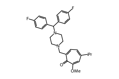 COc1cc(C(C)C)ccc(CN2CCN(C(c3ccc(F)cc3)c3ccc(F)cc3)CC2)c1=O